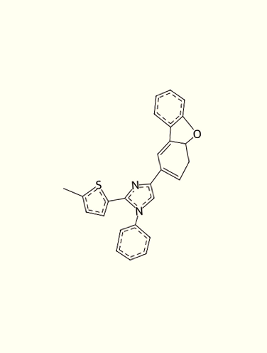 Cc1ccc(-c2nc(C3=CCC4Oc5ccccc5C4=C3)cn2-c2ccccc2)s1